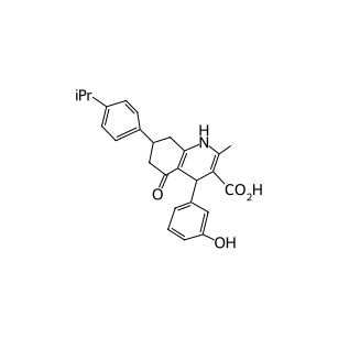 CC1=C(C(=O)O)C(c2cccc(O)c2)C2=C(CC(c3ccc(C(C)C)cc3)CC2=O)N1